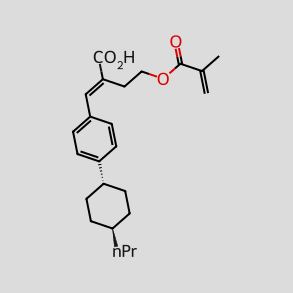 C=C(C)C(=O)OCCC(=Cc1ccc([C@H]2CC[C@H](CCC)CC2)cc1)C(=O)O